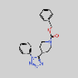 O=C(OCc1ccccc1)N1CCC(c2nnnn2-c2ccccc2)CC1